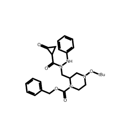 CC(C)(C)ON1CCN(C(=O)OCc2ccccc2)C(CN(Nc2ccccc2)C(=O)C2CC2=O)C1